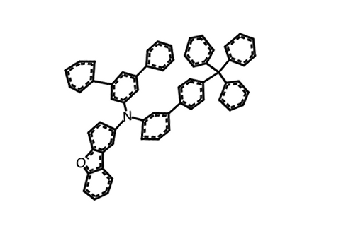 c1ccc(-c2cc(-c3ccccc3)cc(N(c3cccc(-c4ccc(C(c5ccccc5)(c5ccccc5)c5ccccc5)cc4)c3)c3ccc4oc5ccccc5c4c3)c2)cc1